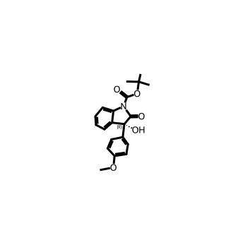 COc1ccc([C@]2(O)C(=O)N(C(=O)OC(C)(C)C)c3ccccc32)cc1